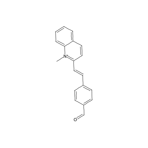 C[n+]1c(/C=C/c2ccc(C=O)cc2)ccc2ccccc21